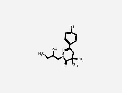 CCC(O)CN1N=C(c2ccc(Cl)cc2)CC(C)(C)C1=O